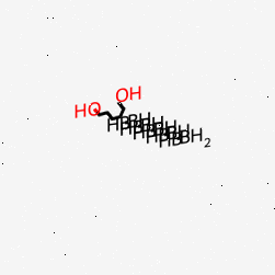 BBBBBBBBBBC(CCO)CCCO